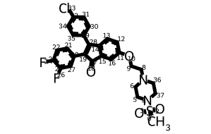 CS(=O)(=O)N1CCN(CCOc2ccc3c(c2)C(=O)C(c2ccc(F)c(F)c2)=C3c2ccc(Cl)cc2)CC1